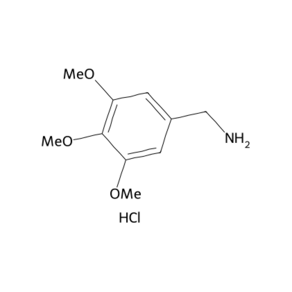 COc1cc(CN)cc(OC)c1OC.Cl